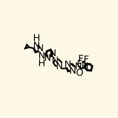 O=C(Nc1cnc(CN2CCN(c3nccc(Nc4cc(C5CC5)[nH]n4)n3)CC2)cn1)c1ccccc1C(F)(F)F